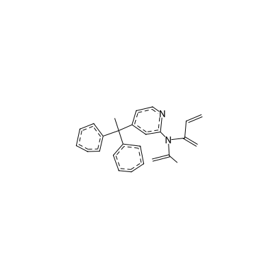 C=CC(=C)N(C(=C)C)c1cc(C(C)(c2ccccc2)c2ccccc2)ccn1